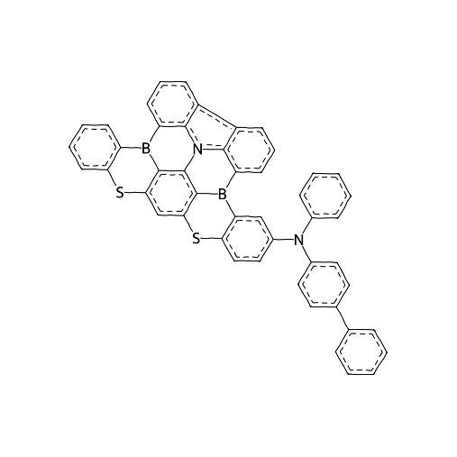 c1ccc(-c2ccc(N(c3ccccc3)c3ccc4c(c3)B3c5c(cc6c7c5-n5c8c(cccc8c8cccc3c85)B7c3ccccc3S6)S4)cc2)cc1